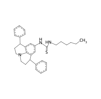 CCCCCCNC(=S)Nc1cc2c3c(c1)C(c1ccccc1)CCN3CCC2c1ccccc1